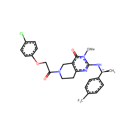 COn1c(N[C@@H](C)c2ccc(C(F)(F)F)cc2)nc2c(c1=O)CN(C(=O)COc1ccc(Cl)cc1)CC2